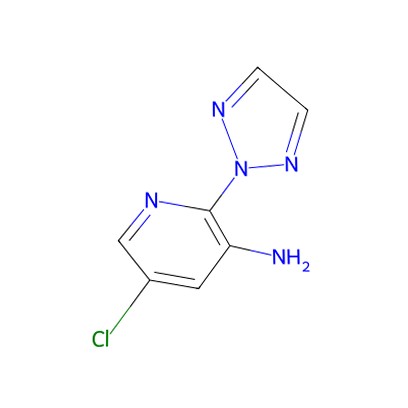 Nc1cc(Cl)cnc1-n1nccn1